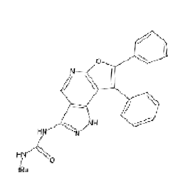 CC(C)(C)NC(=O)Nc1n[nH]c2c1cnc1oc(-c3ccccc3)c(-c3ccccc3)c12